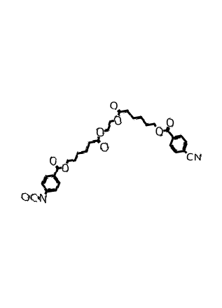 N#Cc1ccc(C(=O)OCCCCCC(=O)OCCOC(=O)CCCCCOC(=O)c2ccc(N=C=O)cc2)cc1